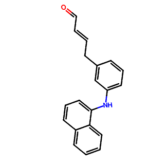 O=CC=CCc1cccc(Nc2cccc3ccccc23)c1